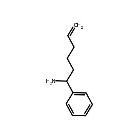 C=CCCCC(N)c1ccccc1